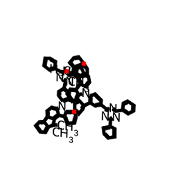 CC1(C)c2ccccc2-c2ccc3c(c21)c1ccccc1n3-c1ccc(-c2nc(-c3ccccc3)nc(-c3ccccc3)n2)cc1-c1cccc(-c2cc(-c3nc(-c4ccccc4)nc(-c4ccccc4)n3)ccc2-n2c3ccccc3c3c4c(ccc32)-c2ccccc2C4(C)C)c1